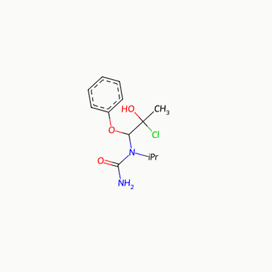 CC(C)N(C(N)=O)C(Oc1ccccc1)C(C)(O)Cl